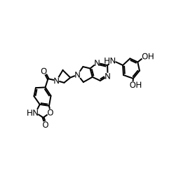 O=C(c1ccc2[nH]c(=O)oc2c1)N1CC(N2Cc3cnc(Nc4cc(O)cc(O)c4)nc3C2)C1